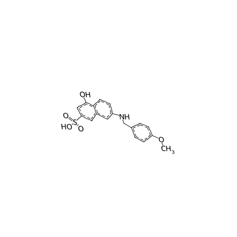 COc1ccc(CNc2ccc3c(O)cc(S(=O)(=O)O)cc3c2)cc1